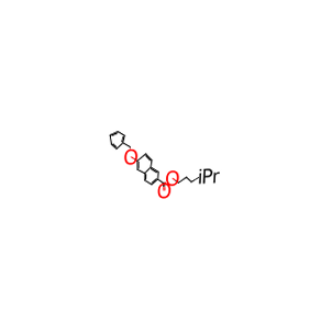 CC(C)CCCOC(=O)c1ccc2cc(OCc3ccccc3)ccc2c1